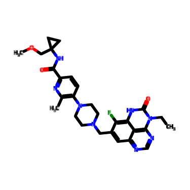 CCN1C(=O)Nc2c(F)c(CN3CCN(c4ccc(C(=O)NC5(COC)CC5)nc4C)CC3)cc3ncnc1c23